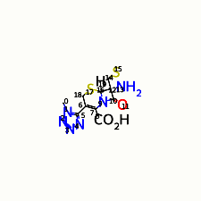 Cn1nnnc1C1=C(C(=O)O)N2C(=O)[C@](N)(C=S)[C@@H]2SC1